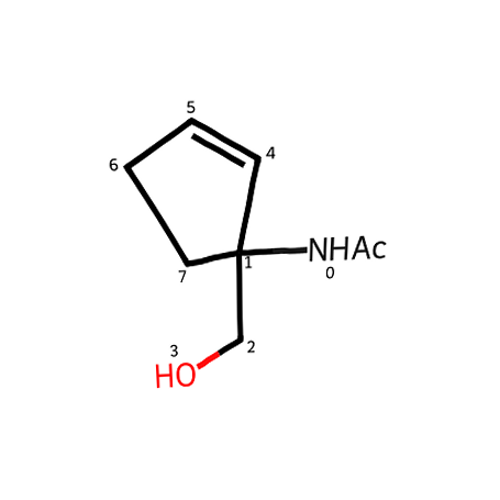 CC(=O)NC1(CO)C=CCC1